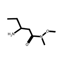 CCC(N)CC(=O)N(C)OC